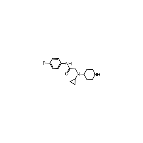 O=C(CN(C1CCNCC1)C1CC1)Nc1ccc(F)cc1